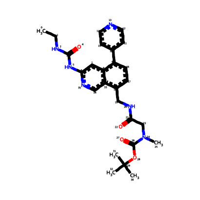 CCNC(=O)Nc1cc2c(-c3ccncc3)ccc(CNC(=O)CN(C)C(=O)OC(C)(C)C)c2cn1